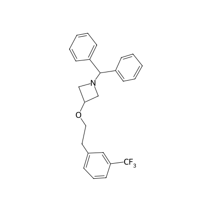 FC(F)(F)c1cccc(CCOC2CN(C(c3ccccc3)c3ccccc3)C2)c1